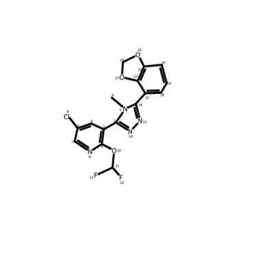 Cn1c(-c2cc(Cl)cnc2OC(F)F)nnc1-c1cccc2c1OCO2